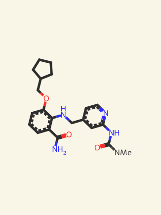 CNC(=O)Nc1cc(CNc2c(OCC3CCCC3)cccc2C(N)=O)ccn1